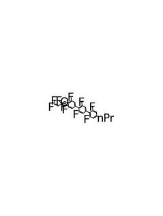 CCCc1cc(F)c(-c2cc(F)c(-c3cc(F)c(OC(F)(F)C=C(F)F)c(F)c3)c(F)c2)c(F)c1